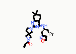 C=CC(=O)N1CC2(CCN(c3nc4c(c(N[C@H](Cc5ccon5)CC(C)C)n3)CCC(C)(C)C4)C2)C1